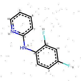 Fc1ccc(Nc2ccccn2)c(F)c1